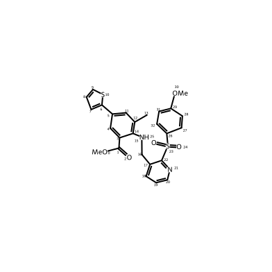 COC(=O)c1cc(-c2cccs2)cc(C)c1NCc1cccnc1S(=O)(=O)c1ccc(OC)cc1